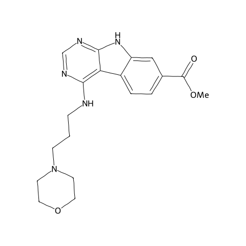 COC(=O)c1ccc2c(c1)[nH]c1ncnc(NCCCN3CCOCC3)c12